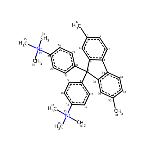 Cc1ccc2c(c1)C(c1ccc([N+](C)(C)C)cc1)(c1ccc([N+](C)(C)C)cc1)c1cc(C)ccc1-2